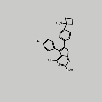 CSc1nc(C(F)(F)F)c2c(-c3ccccc3)c(-c3ccc(C4(N)CCC4)cc3)oc2n1.Cl